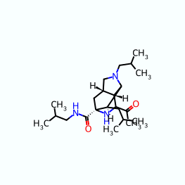 CC(=O)C1N[C@@]2(C(=O)NCC(C)C)C[C@@H]3CN(CC(C)C)C([C@H]13)[C@H]2CC(C)C